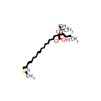 CCCCC(CCCCCCCC=CCCC=Cc1csc(C)n1)(O[SiH](C)C)C(=O)O